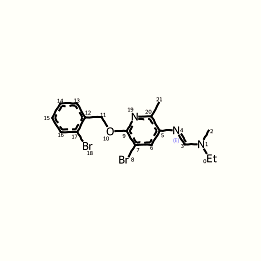 CCN(C)/C=N/c1cc(Br)c(OCc2ccccc2Br)nc1C